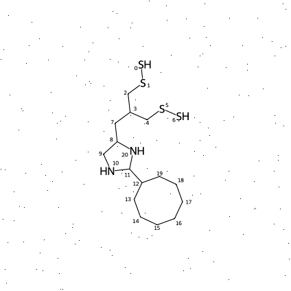 SSCC(CSS)CC1CNC(C2CCCCCCC2)N1